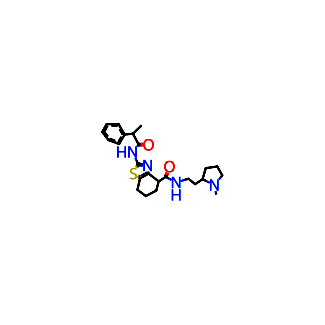 CC(C(=O)Nc1nc2c(s1)CCCC2C(=O)NCCC1CCCN1C)c1ccccc1